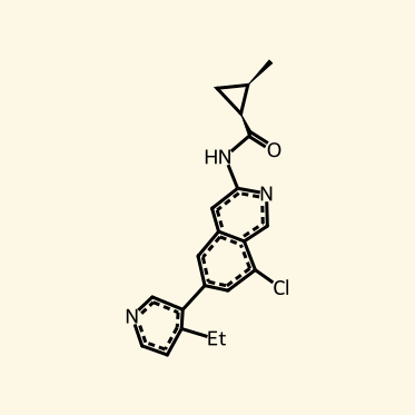 CCc1ccncc1-c1cc(Cl)c2cnc(NC(=O)[C@H]3C[C@H]3C)cc2c1